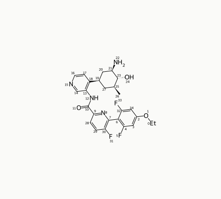 CCOc1cc(F)c(-c2nc(C(=O)Nc3cnccc3[C@H]3C[C@@H](N)[C@H](O)[C@@H](C)C3)ccc2F)c(F)c1